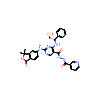 CC1(C)OC(=O)c2ccc(Nc3ncc(C(=O)NNC(=O)c4cccnc4)c(N[C@H](CO)c4ccccc4)n3)cc21